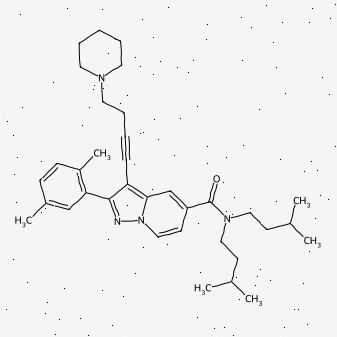 Cc1ccc(C)c(-c2nn3ccc(C(=O)N(CCC(C)C)CCC(C)C)cc3c2C#CCCN2CCCCC2)c1